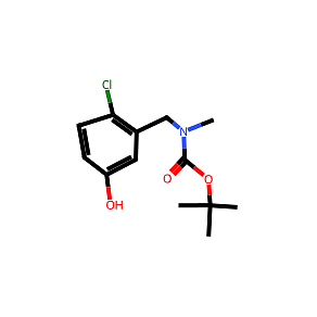 CN(Cc1cc(O)ccc1Cl)C(=O)OC(C)(C)C